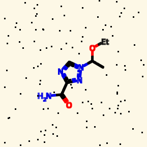 CCOC(C)n1cnc(C(N)=O)n1